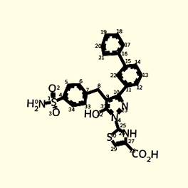 NS(=O)(=O)c1ccc(Cc2c(-c3cccc(-c4ccccc4)c3)nn(C3NC(C(=O)O)=CS3)c2O)cc1